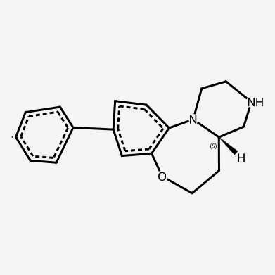 [c]1ccc(-c2ccc3c(c2)OCC[C@H]2CNCCN32)cc1